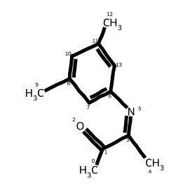 CC(=O)C(C)=Nc1cc(C)cc(C)c1